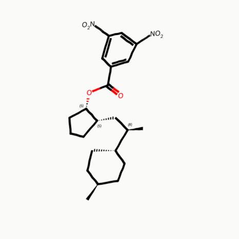 C[C@H](C[C@@H]1CCC[C@@H]1OC(=O)c1cc([N+](=O)[O-])cc([N+](=O)[O-])c1)[C@H]1CC[C@H](C)CC1